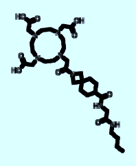 CCCCNC(=O)CNC(=O)C1CCC2(CC1)CN(C(=O)CN1CCN(CC(=O)O)CCN(CC(=O)O)CCN(CC(=O)O)CC1)C2